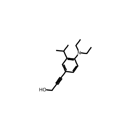 CCN(CC)c1ccc(C#CCO)cc1C(C)C